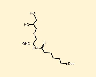 CCCCCCCCCCCCCCCC(=O)N[C@H]([C]=O)CSCC(O)CO